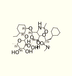 CCC1CCC[C@@H](O[C@@H]2O[C@@H](CO)[C@H](O)C(O[C@@H](CC3CCCCC3)C(=O)N(C)C)C2NC(C)=O)[C@@H]1OC1O[C@@H](C)[C@H](O)C(O)[C@@H]1O